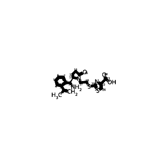 C=C(C)c1ccccc1C(N)[C@H]1CCC(=O)N1CCSc1nc(C(=O)O)cs1